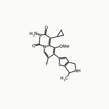 COc1c(-c2cc3c(s2)C(C)NC3)c(F)cn2c(=O)n(N)c(=O)c(C3CC3)c12